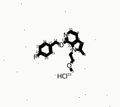 COCCn1c(C)cc2ccnc(OCc3ccc(F)cc3)c21.Cl